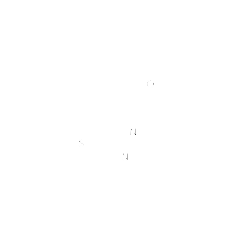 O=CC1=NN=CSC1